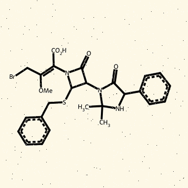 CO/C(CBr)=C(/C(=O)O)N1C(=O)C(N2C(=O)C(c3ccccc3)NC2(C)C)C1SCc1ccccc1